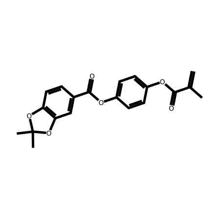 C=C(C)C(=O)Oc1ccc(OC(=O)c2ccc3c(c2)OC(C)(C)O3)cc1